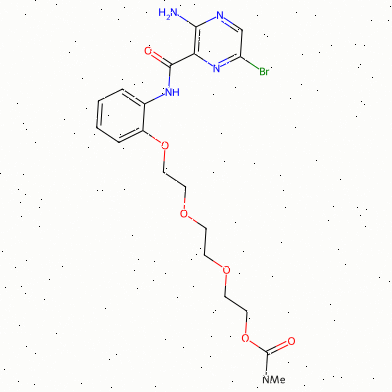 CNC(=O)OCCOCCOCCOc1ccccc1NC(=O)c1nc(Br)cnc1N